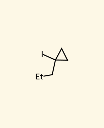 CCCC1(I)CC1